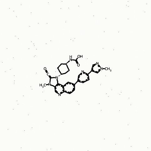 CN1C(=C=O)N([C@H]2CC[C@H](NC(=O)O)CC2)c2c1cnc1ccc(-c3ccc(-c4cnn(C)c4)nc3)cc21